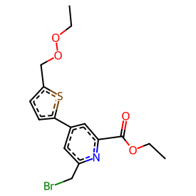 CCOOCc1ccc(-c2cc(CBr)nc(C(=O)OCC)c2)s1